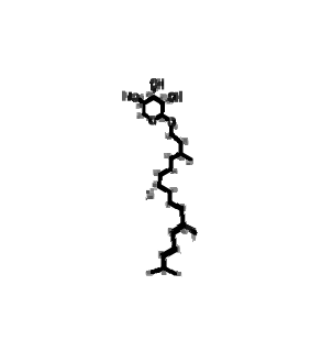 CC(C)CCC[C@H](C)CCC[C@H](C)CCCC(C)CCOC1OCC(O)[C@H](O)[C@@H]1O